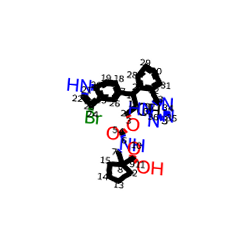 CC(COC(=O)NCC1(C(=O)O)CCCC1)C(c1ccc2[nH]cc(Br)c2c1)c1ccccc1-c1nnn[nH]1